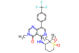 Cn1cnc2c(-c3ccc(C(F)(F)F)cc3)cnc(N[C@@H]3CCCS(=O)(=O)C3(C)C)c2c1=O